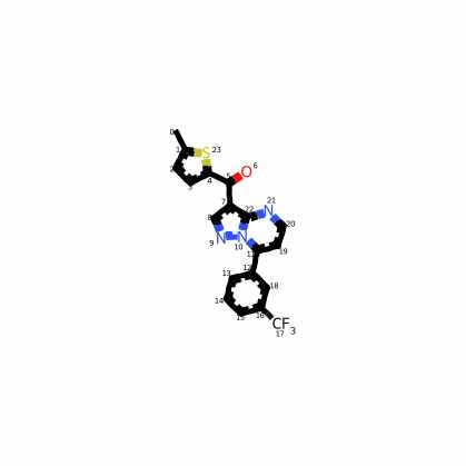 Cc1ccc(C(=O)c2cnn3c(-c4cccc(C(F)(F)F)c4)ccnc23)s1